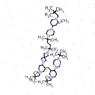 C[C@@H]1CC(N2CCN(C(C)(C)CCC(C)(C)N3CC4(CN(C5CCN(CC(C)(C)C)C[C@@H]5CC5CN(CC(C)(C)C)CCC5N5CCN(C(C)(C)C)CC5)C4)C3)CC2)CCN1CC(C)(C)C